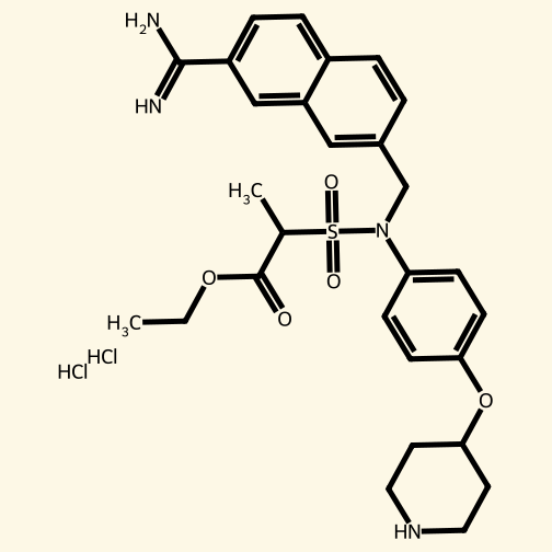 CCOC(=O)C(C)S(=O)(=O)N(Cc1ccc2ccc(C(=N)N)cc2c1)c1ccc(OC2CCNCC2)cc1.Cl.Cl